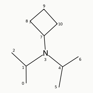 CC(C)N(C(C)C)C1[CH]CC1